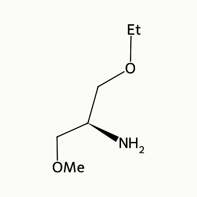 CCOC[C@@H](N)COC